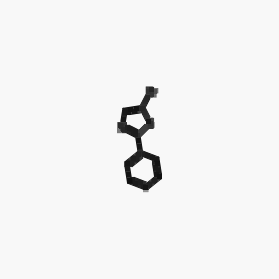 Brc1cnc(-c2cc[c]cc2)s1